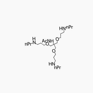 CCCNCCCOCC(COCCCNCCC)(COCCCNCCC)NC(C)=O